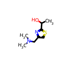 CC(O)c1nc(CN(C)C)cs1